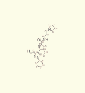 Cc1nn(-c2ccccc2)c2c1-c1sc(C(=O)NCCCN3CCCC3)cc1CC2